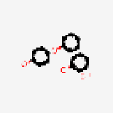 [B+3].[O-]c1ccccc1.[O-]c1ccccc1.[O-]c1ccccc1